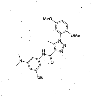 COc1ccc(OC)c(-n2nnc(C(=O)Nc3cc(N(C)C)cc(C(C)(C)C)c3)c2C)c1